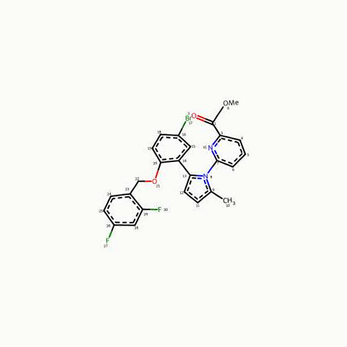 COC(=O)c1cccc(-n2c(C)ccc2-c2cc(Br)ccc2OCc2ccc(F)cc2F)n1